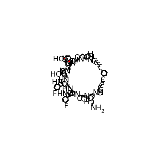 C[C@H]1NC(=O)[C@H](CCCCN)NC(=O)CCSCc2cccc(c2)CSCCNC(=O)[C@]2(C)CCCN2C(=O)[C@H](Cc2ccc(O)cc2)NC(=O)[C@H](Cc2cnc[nH]2)NC(=O)[C@H](CC(=O)O)NC(=O)[C@H](Cc2c[nH]c3ccc(F)cc23)NC(=O)[C@H](Cc2c[nH]c3ccc(F)cc23)NC1=O